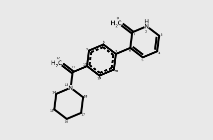 C=C1NC=CC=C1c1ccc(C(=C)N2CCCCC2)cc1